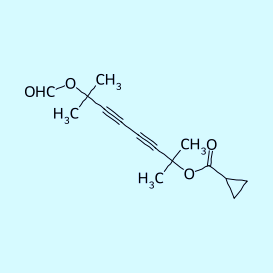 CC(C)(C#CC#CC(C)(C)OC(=O)C1CC1)OC=O